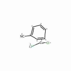 N#Cc1ccccc1.[Cl][Cu][Cl]